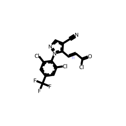 N#Cc1cnn(-c2c(Cl)cc(C(F)(F)F)cc2Cl)c1/C=C/C(=O)Cl